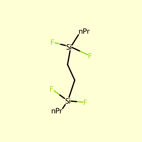 CCC[Si](F)(F)CC[Si](F)(F)CCC